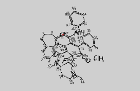 C=C1CCCc2ccccc2N1C1=C(C(=O)N(C)C2CCN(C)CC2)C(F)(F)C(=C=O)C(c2ccccc2)=C1C(=O)Nc1ccccc1.Cl